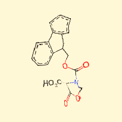 O=C(O)[C@H]1C(=O)OCN1C(=O)OCC1c2ccccc2-c2ccccc21